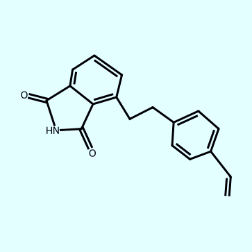 C=Cc1ccc(CCc2cccc3c2C(=O)NC3=O)cc1